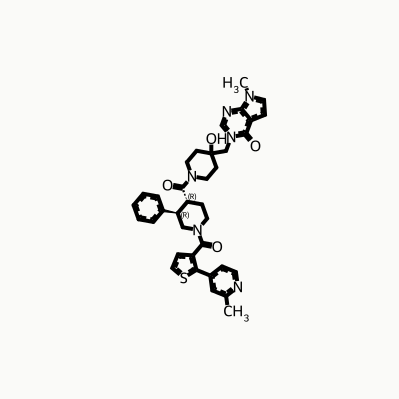 Cc1cc(-c2sccc2C(=O)N2CC[C@@H](C(=O)N3CCC(O)(Cn4cnc5c(ccn5C)c4=O)CC3)[C@H](c3ccccc3)C2)ccn1